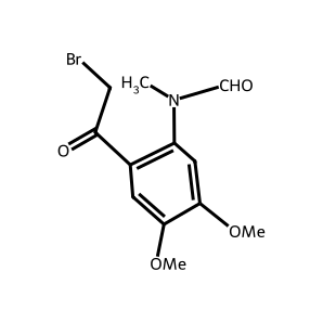 COc1cc(C(=O)CBr)c(N(C)C=O)cc1OC